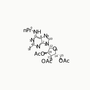 CCCNc1nc(I)nc2c1ncn2[C@@H]1O[C@H](COC(C)=O)[C@@H](OC(C)=O)[C@H]1OC(C)=O